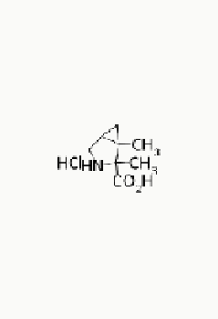 CC1(C(=O)O)NCC2CC21C.Cl